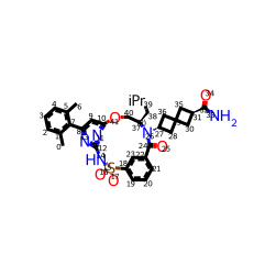 Cc1cccc(C)c1-c1cc2nc(n1)NS(=O)(=O)c1cccc(c1)C(=O)N([C@H]1CC3(C[C@H](C(N)=O)C3)C1)[C@H](CC(C)C)CO2